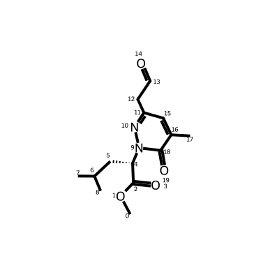 COC(=O)[C@H](CC(C)C)n1nc(CC=O)cc(C)c1=O